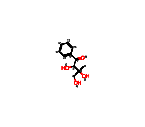 CC(O)(CO)C(O)C(=O)c1ccccc1